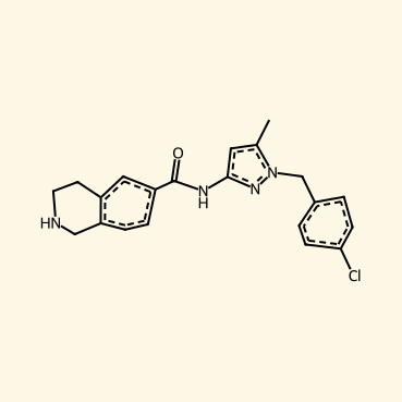 Cc1cc(NC(=O)c2ccc3c(c2)CCNC3)nn1Cc1ccc(Cl)cc1